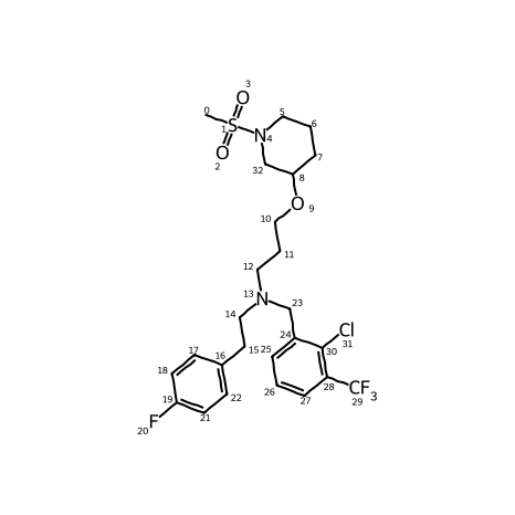 CS(=O)(=O)N1CCCC(OCCCN(CCc2ccc(F)cc2)Cc2cccc(C(F)(F)F)c2Cl)C1